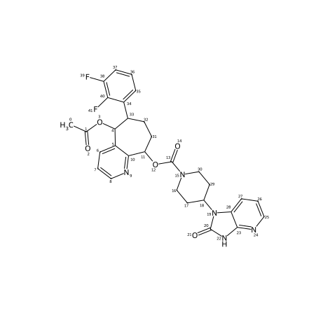 CC(=O)OC1c2cccnc2C(OC(=O)N2CCC(n3c(=O)[nH]c4ncccc43)CC2)CCC1c1cccc(F)c1F